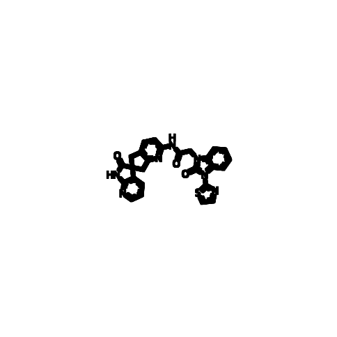 O=C(Cn1c(=O)n(-c2nccs2)c2ccccc21)Nc1ccc2c(n1)CC1(C2)C(=O)Nc2ncccc21